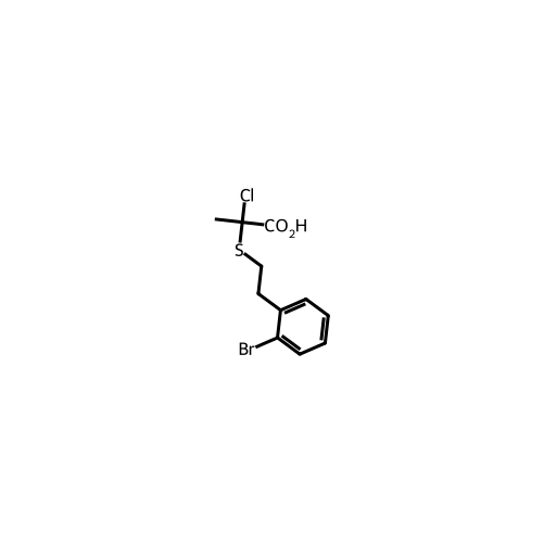 CC(Cl)(SCCc1ccccc1Br)C(=O)O